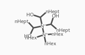 CCCCCCCC(O)[N+](C(O)CCCCCCC)(C(O)CCCCCCC)[N+](CCCCCC)(CCCCCC)CCCCCC